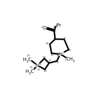 CC(C)C(=O)C1CC[N+](C)(CC2C[N+](C)(C)C2)CC1